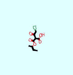 CCC(C)OC(=O)C(C(=O)O)C(=O)CCl